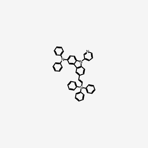 C(=C\[Si](c1ccccc1)(c1ccccc1)c1ccccc1)/c1ccc2c(c1)c1cc(N(c3ccccc3)c3ccccc3)ccc1n2-c1cccnc1